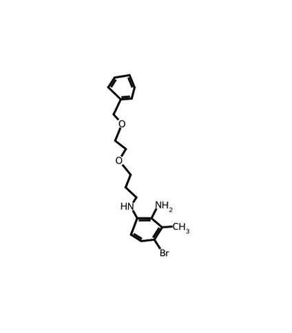 Cc1c(Br)ccc(NCCCOCCOCc2ccccc2)c1N